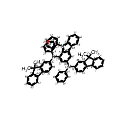 CC1(C)c2ccccc2-c2ccc(N(c3ccccc3)c3cc(N(c4ccccc4)c4ccc5c(c4)C(C)(C)c4ccccc4-5)c4c(c3)c3ccccc3n4-c3ccccc3)cc21